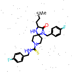 CSCCC1NC2(CCN(C(=S)NCc3ccc(F)cc3)CC2)N(Cc2ccc(F)cc2)C1=O